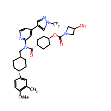 COc1ccc([C@H]2CC[C@H](CN(c3cc(-c4cnn(C(F)(F)F)c4)ccn3)C(=O)[C@H]3CC[C@H](OC(=O)N4CC(O)C4)CC3)CC2)cc1C